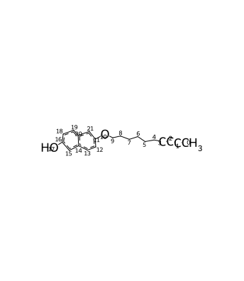 CCCCCCCCCCOc1ccc2cc(O)ccc2c1